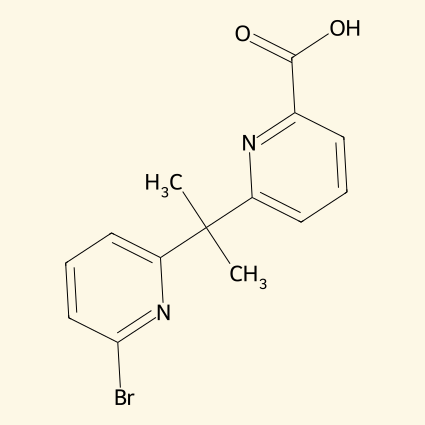 CC(C)(c1cccc(Br)n1)c1cccc(C(=O)O)n1